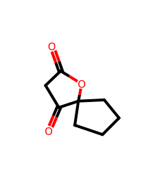 O=C1CC(=O)C2(CCCC2)O1